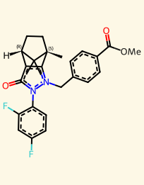 COC(=O)c1ccc(Cn2c3c(c(=O)n2-c2ccc(F)cc2F)[C@@H]2CC[C@@]3(C)C2(C)C)cc1